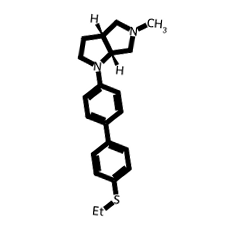 CCSc1ccc(-c2ccc(N3CC[C@@H]4CN(C)C[C@@H]43)cc2)cc1